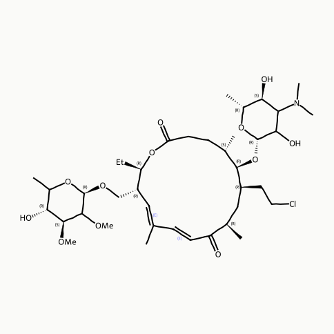 CC[C@H]1OC(=O)CC[C@H](C)[C@@H](O[C@@H]2O[C@H](C)[C@@H](O)C(N(C)C)C2O)[C@@H](CCCl)C[C@@H](C)C(=O)/C=C/C(C)=C/[C@@H]1CO[C@@H]1OC(C)[C@@H](O)[C@H](OC)C1OC